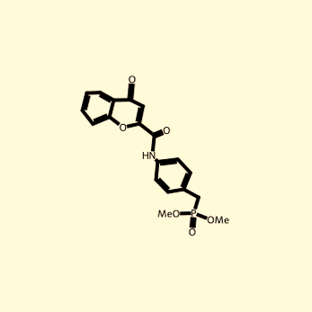 COP(=O)(Cc1ccc(NC(=O)c2cc(=O)c3ccccc3o2)cc1)OC